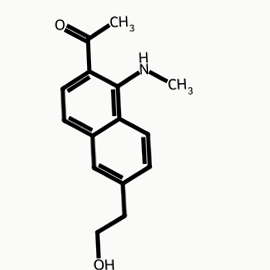 CNc1c(C(C)=O)ccc2cc(CCO)ccc12